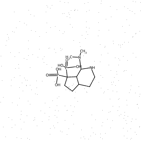 CN(C)C1NCCC2CCC(P(=O)(O)O)(P(=O)(O)O)C21